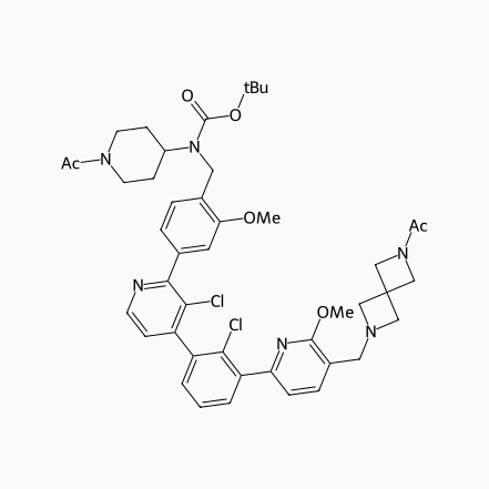 COc1cc(-c2nccc(-c3cccc(-c4ccc(CN5CC6(C5)CN(C(C)=O)C6)c(OC)n4)c3Cl)c2Cl)ccc1CN(C(=O)OC(C)(C)C)C1CCN(C(C)=O)CC1